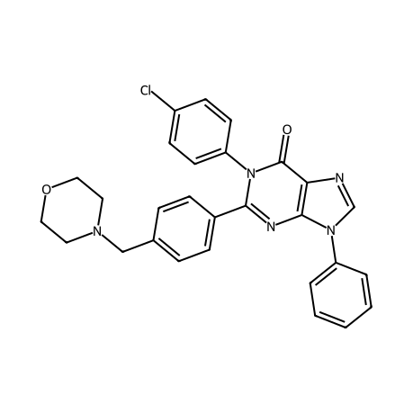 O=c1c2ncn(-c3ccccc3)c2nc(-c2ccc(CN3CCOCC3)cc2)n1-c1ccc(Cl)cc1